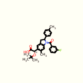 Cc1ccc(C2Cc3cc([C@H](OC(C)(C)C)C(=O)O)c(C)cc3N2C(=O)c2cccc(F)c2)cc1